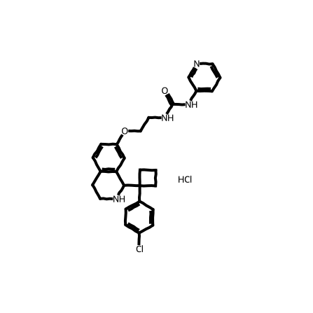 Cl.O=C(NCCOc1ccc2c(c1)C(C1(c3ccc(Cl)cc3)CCC1)NCC2)Nc1cccnc1